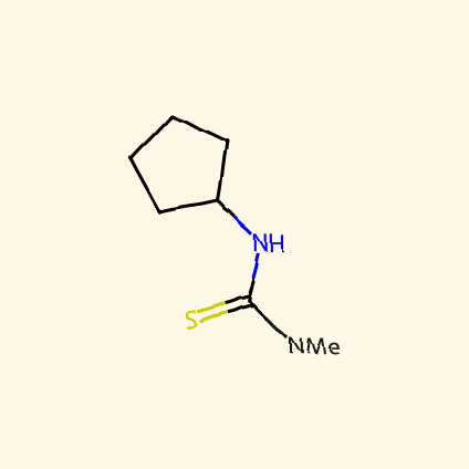 CNC(=S)NC1CCCC1